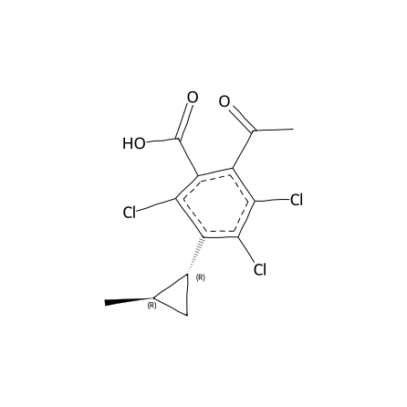 CC(=O)c1c(Cl)c(Cl)c([C@@H]2C[C@H]2C)c(Cl)c1C(=O)O